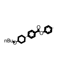 CCCCO[C@H]1CC[C@H](c2ccc(C(=O)Oc3cc[c]cc3)cc2)CC1